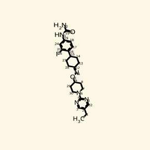 CCc1cnc(N2CCC(ON=C3CCC(c4ccc(NC(N)=O)cc4F)CC3)CC2)nc1